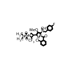 COc1c(C2CN(S(=O)(=O)N(C)C)C2C(F)(F)F)nn(C(=O)c2ccccc2Cl)c1N(C)Cc1ccc(F)cc1